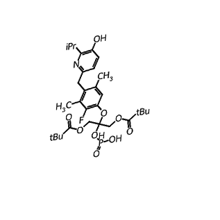 Cc1cc(OC(COC(=O)C(C)(C)C)(COC(=O)C(C)(C)C)O[PH](=O)O)c(F)c(C)c1Cc1ccc(O)c(C(C)C)n1